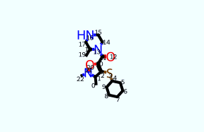 CC1C(SC2CCCCC2)=C(C(=O)N2CCNCC2C)ON1C